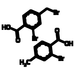 Cc1ccc(C(=O)O)c(Br)c1.O=C(O)c1ccc(CBr)cc1Br